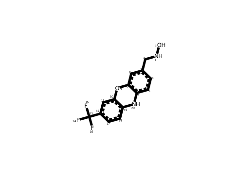 ONCc1ccc2c(c1)Oc1cc(C(F)(F)F)ccc1N2